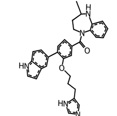 CC1CCN(C(=O)c2ccc(-c3ccc4[nH]ccc4c3)c(OCCCc3cnc[nH]3)c2)c2ccccc2N1